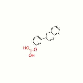 OB(O)Oc1cccc(-c2ccc3ccccc3c2)c1